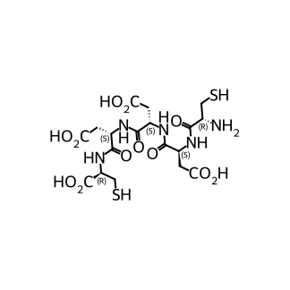 N[C@@H](CS)C(=O)N[C@@H](CC(=O)O)C(=O)N[C@@H](CC(=O)O)C(=O)N[C@@H](CC(=O)O)C(=O)N[C@@H](CS)C(=O)O